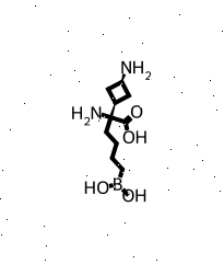 NC(CCCCB(O)O)(C(=O)O)[C@H]1C[C@@H](N)C1